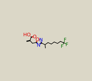 C=C(Cc1nc(C(C)CCCCCC(F)(F)F)no1)C(=O)O